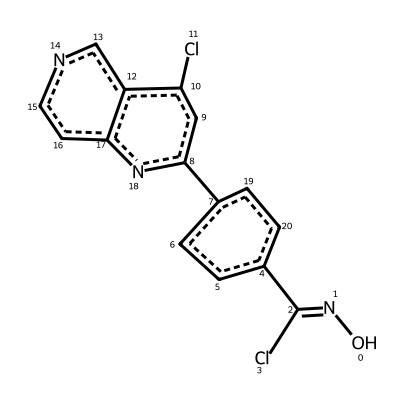 O/N=C(\Cl)c1ccc(-c2cc(Cl)c3cnccc3n2)cc1